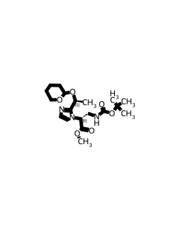 COC(=O)[C@@H](CNC(=O)OC(C)(C)C)n1ccnc1[C@H](C)OC1CCCCO1